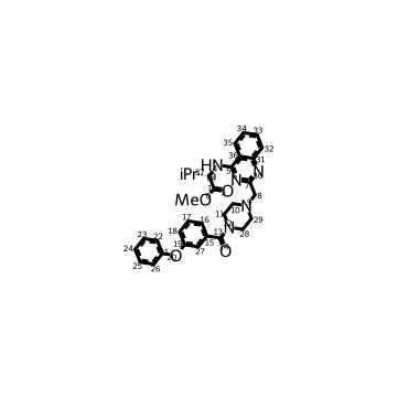 COC(=O)[C@@H](Nc1nc(CN2CCN(C(=O)c3cccc(Oc4ccccc4)c3)CC2)nc2ccccc12)C(C)C